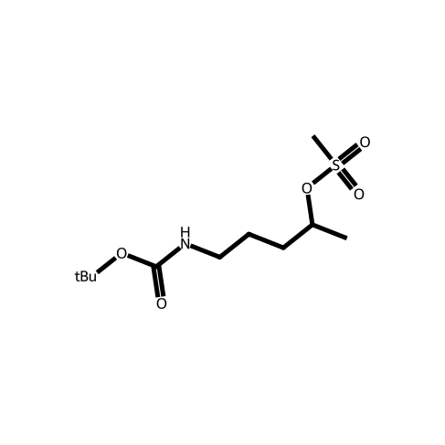 CC(CCCNC(=O)OC(C)(C)C)OS(C)(=O)=O